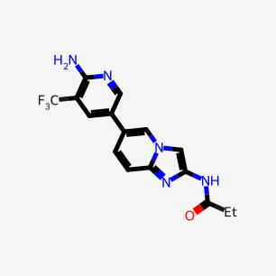 CCC(=O)Nc1cn2cc(-c3cnc(N)c(C(F)(F)F)c3)ccc2n1